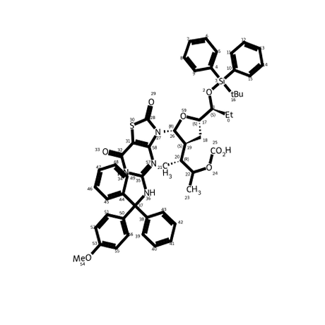 CC[C@H](O[Si](c1ccccc1)(c1ccccc1)C(C)(C)C)[C@@H]1C[C@@H]([C@@H](C)C(C)OC(=O)O)[C@H](n2c(=O)sc3c(=O)[nH]c(NC(c4ccccc4)(c4ccccc4)c4ccc(OC)cc4)nc32)O1